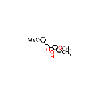 COc1cccc(/C=C/C(=O)c2ccc3c(c2O)C=CC(C)(C)O3)c1